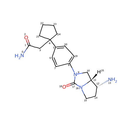 NC(=O)CC1(c2ccc(N3C[C@@H]4[C@H](N)CCN4C3=O)cc2)CCCC1